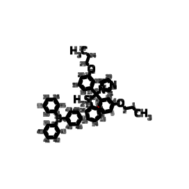 CCCOc1cccc(C([SiH2]c2ccccc2)(c2cccc(OCCC)c2)n2ccnc2)c1.c1ccc(B(c2ccccc2)c2ccccc2)cc1